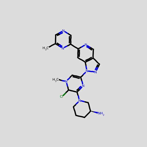 Cc1cncc(-c2cc3c(cn2)cnn3C2=CN(C)C(Cl)C(N3CCC[C@H](N)C3)=N2)n1